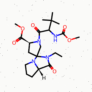 CCN1C(=O)[C@@H]2CCCN2C12C[C@@H](C(=O)OC)N(C(=O)C(NC(=O)OC)C(C)(C)C)C2